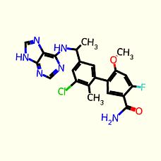 COc1cc(F)c(C(N)=O)cc1-c1cc(C(C)Nc2ncnc3[nH]cnc23)cc(Cl)c1C